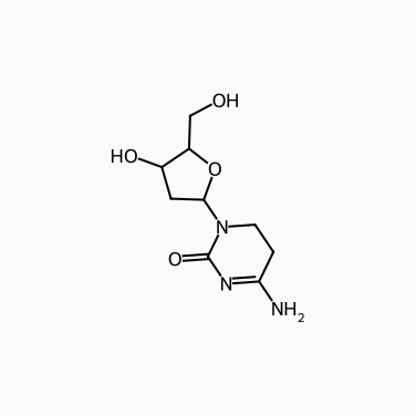 NC1=NC(=O)N(C2CC(O)C(CO)O2)CC1